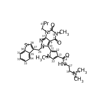 CC(C)Cn1c(=O)n(C)c(=O)c2c(-c3cc(C(=O)NCCN(C)C)cn3C)n(Cc3csc4ccccc34)nc21